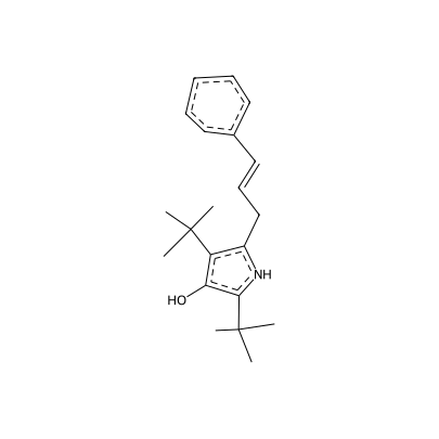 CC(C)(C)c1[nH]c(CC=Cc2ccccc2)c(C(C)(C)C)c1O